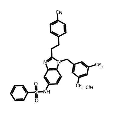 Cl.N#Cc1ccc(CCc2nc3cc(NS(=O)(=O)c4ccccc4)ccc3n2Cc2cc(C(F)(F)F)cc(C(F)(F)F)c2)cc1